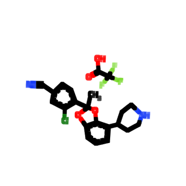 CC1(c2ccc(C#N)cc2Cl)Oc2cccc(C3CCNCC3)c2O1.O=C(O)C(F)(F)F